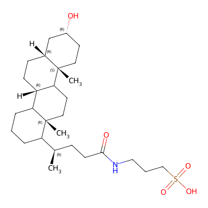 C[C@H](CCC(=O)NCCCS(=O)(=O)O)C1CCCC2[C@@H]3CC[C@@H]4C[C@H](O)CC[C@]4(C)C3CC[C@@]21C